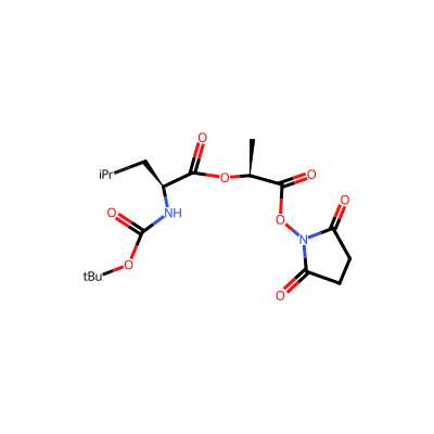 CC(C)C[C@H](NC(=O)OC(C)(C)C)C(=O)O[C@@H](C)C(=O)ON1C(=O)CCC1=O